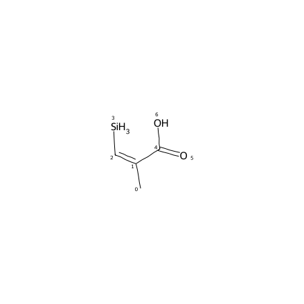 CC(=C[SiH3])C(=O)O